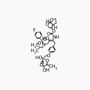 CC(C)CN(C[C@@H](O)[C@H](Cc1ccc(OCP(=O)(O)O[C@@H](C)C(=O)O)cc1)NC(=O)O[C@H]1CO[C@H]2OCC[C@H]21)S(=O)(=O)c1ccc(F)cc1